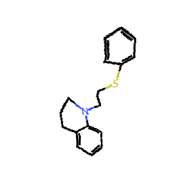 c1ccc(SCCN2CCCc3ccccc32)cc1